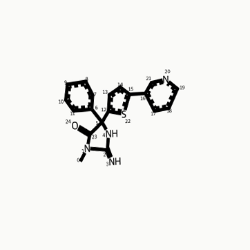 CN1C(=N)NC(c2ccccc2)(c2ccc(-c3cccnc3)s2)C1=O